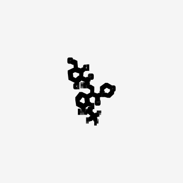 O=Cc1ccc(Cl)c(C(=O)NCC(C(=O)N2CCOCC2)c2cccc3[nH]c(C(F)(F)F)nc23)c1Cl